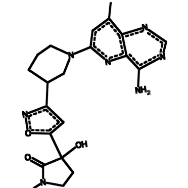 Cc1cc(N2CCCC(c3cc(C4(O)CCN(C)C4=O)on3)C2)nc2c(N)ncnc12